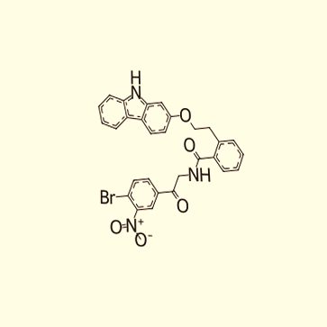 O=C(CNC(=O)c1ccccc1CCOc1ccc2c(c1)[nH]c1ccccc12)c1ccc(Br)c([N+](=O)[O-])c1